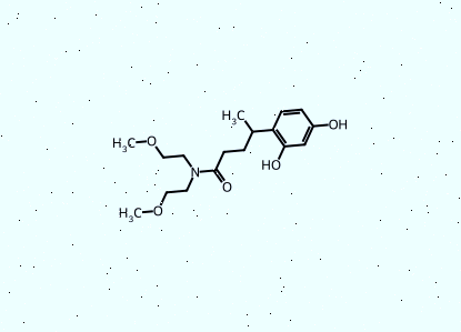 COCCN(CCOC)C(=O)CCC(C)c1ccc(O)cc1O